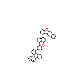 c1ccc2c(c1)-c1c(-c3ccc4c(c3)-c3cccc5c(-c6cccc7oc8cc9ccccc9cc8c67)ccc(c35)O4)cccc1C21C2CC3CC(C2)CC1C3